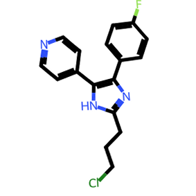 Fc1ccc(-c2nc(CCCCl)[nH]c2-c2ccncc2)cc1